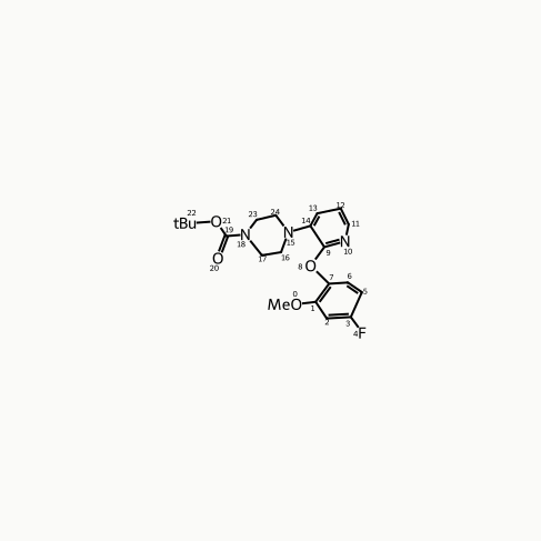 COc1cc(F)ccc1Oc1ncccc1N1CCN(C(=O)OC(C)(C)C)CC1